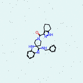 O=C(c1n[nH]c2c1CCCC2)N1CCC2(CC1)Nc1ccccc1N=C2NCc1ccccc1